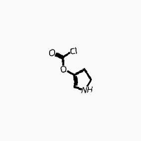 O=C(Cl)OC1=CNCC1